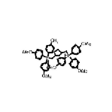 COc1ccc([PH](CC2CCC(C[PH](c3ccc(OC)cc3)(c3ccc(OC)cc3)c3ccc(OC)cc3)C2)(c2ccc(C)cc2)c2ccc(OC)cc2)cc1